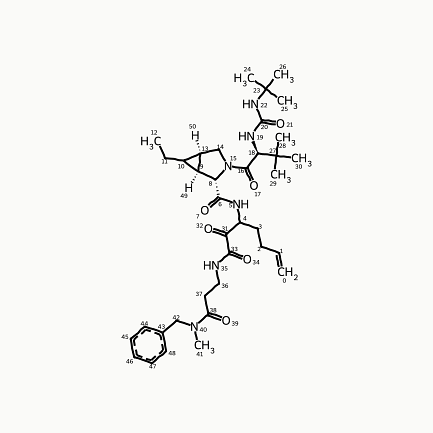 C=CCCC(NC(=O)[C@@H]1[C@H]2C(CC)[C@H]2CN1C(=O)[C@@H](NC(=O)NC(C)(C)C)C(C)(C)C)C(=O)C(=O)NCCC(=O)N(C)Cc1ccccc1